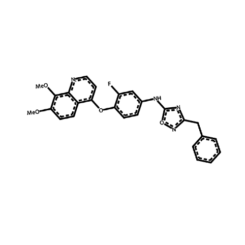 COc1ccc2c(Oc3ccc(Nc4nc(Cc5ccccc5)no4)cc3F)ccnc2c1OC